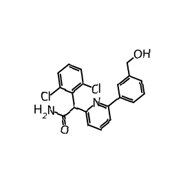 NC(=O)C(c1cccc(-c2cccc(CO)c2)n1)c1c(Cl)cccc1Cl